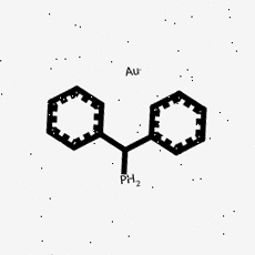 PC(c1ccccc1)c1ccccc1.[Au]